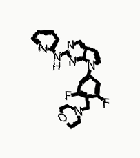 Fc1cc(-n2ccc3cnc(Nc4ccccn4)nc32)cc(F)c1CN1CCOCC1